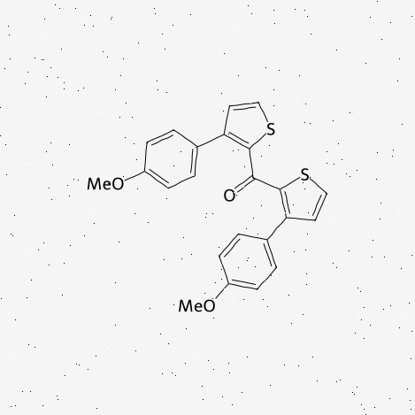 COc1ccc(-c2ccsc2C(=O)c2sccc2-c2ccc(OC)cc2)cc1